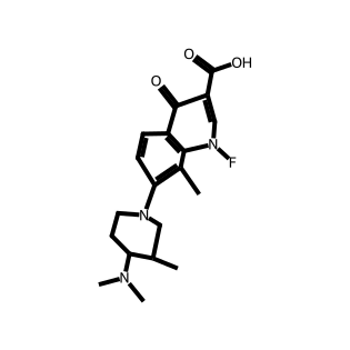 Cc1c(N2CCC(N(C)C)C(C)C2)ccc2c(=O)c(C(=O)O)cn(F)c12